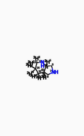 [2H]C1([2H])N[C@]2([2H])CNC[C@]2([2H])C([2H])([2H])C1([2H])[2H]